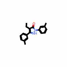 CCc1c(-c2cccc(C)c2)[nH]n(-c2cccc(C)c2)c1=O